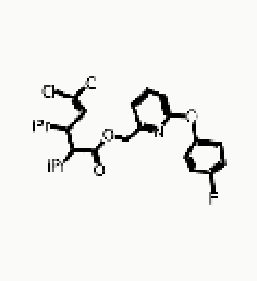 CC(C)C(C=C(Cl)Cl)C(C(=O)OCc1cccc(Oc2ccc(F)cc2)n1)C(C)C